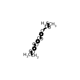 C=C(C)C(=O)OCCCOc1ccc(C(=O)Oc2ccc(OC(=O)c3ccc(OC(=O)C(=C)C)cc3)cc2)cc1